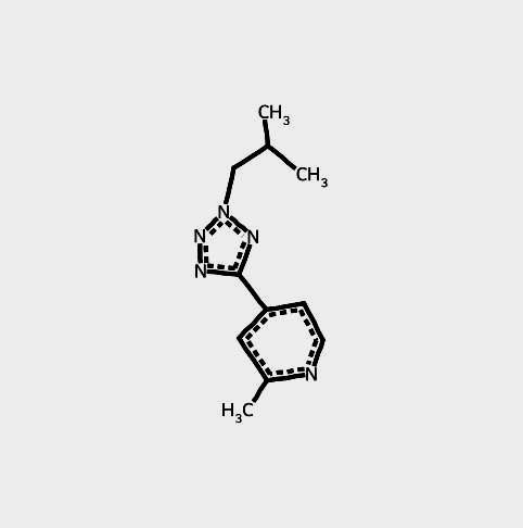 Cc1cc(-c2nnn(CC(C)C)n2)ccn1